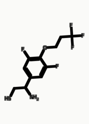 NC(CS)c1cc(F)c(OCCC(F)(F)F)c(F)c1